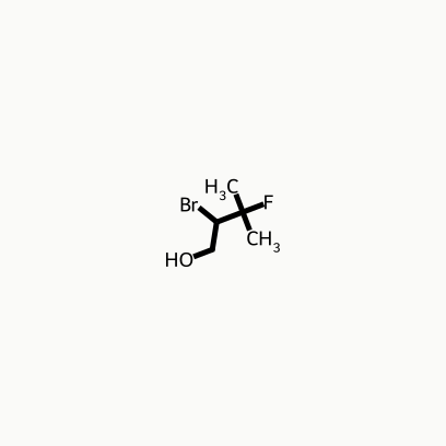 CC(C)(F)C(Br)CO